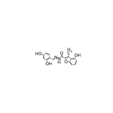 Cc1c(C(=O)N/N=C/c2ccc(O)cc2O)oc2cccc(O)c12